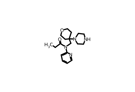 CCC(=O)N(CC1(N2CCNCC2)CCOCC1)c1ccccn1